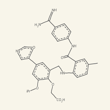 Cc1ccc(NCc2cc(-c3cnco3)cc(OC(C)C)c2OCC(=O)O)c(C(=O)Nc2ccc(C(=N)N)cc2)c1